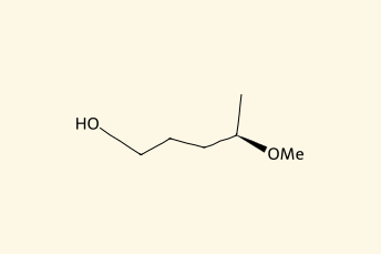 CO[C@H](C)CCCO